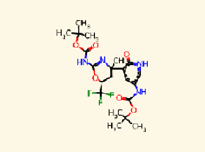 CC(C)(C)OC(=O)NC1=N[C@](C)(c2cc(NC(=O)OC(C)(C)C)c[nH]c2=O)C[C@@H](C(F)(F)F)O1